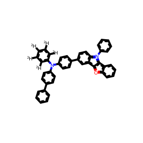 [2H]c1c([2H])c([2H])c(N(c2ccc(-c3ccccc3)cc2)c2ccc(-c3ccc4c(c3)c3oc5ccccc5c3n4-c3ccccc3)cc2)c([2H])c1[2H]